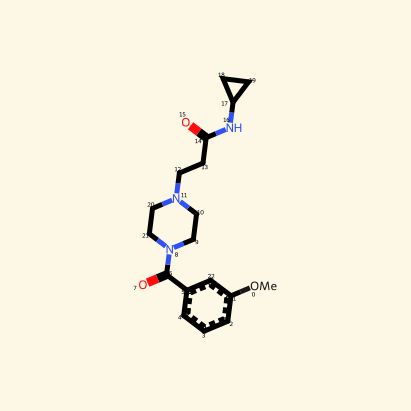 COc1cccc(C(=O)N2CCN(CCC(=O)NC3CC3)CC2)c1